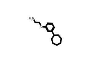 NCCOc1cccc(C2CCCCCC2)c1